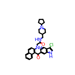 O=C(CNc1ccc2ccccc2c1C(=O)c1ccc2c(Cl)c[nH]c2c1)NCC1CCN(C2CCCC2)CC1